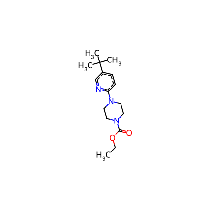 CCOC(=O)N1CCN(c2ccc(C(C)(C)C)cn2)CC1